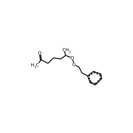 CC(=O)CCCC(C)OOCCc1ccccc1